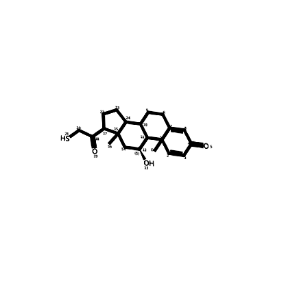 CC12C=CC(=O)C=C1CCC1C2[C@@H](O)CC2(C)C(C(=O)CS)CCC12